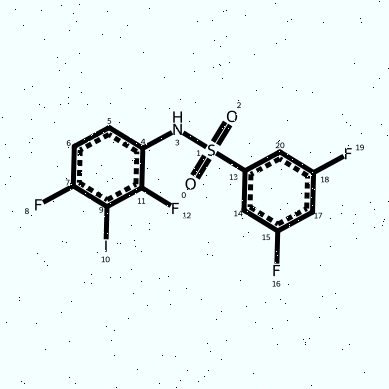 O=S(=O)(Nc1ccc(F)c(I)c1F)c1cc(F)cc(F)c1